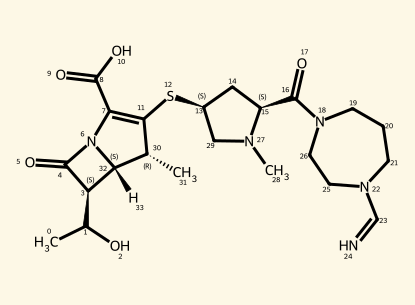 CC(O)[C@H]1C(=O)N2C(C(=O)O)=C(S[C@H]3C[C@@H](C(=O)N4CCCN(C=N)CC4)N(C)C3)[C@H](C)[C@H]12